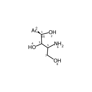 CC(=O)[C@@H](O)C(O)C(N)CO